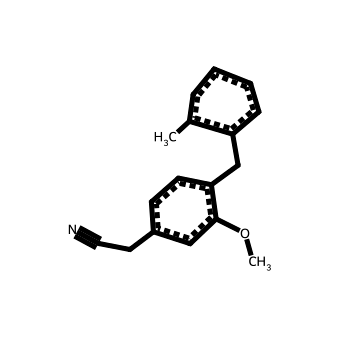 COc1cc(CC#N)ccc1Cc1ccccc1C